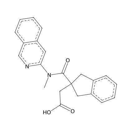 CN(C(=O)C1(CC(=O)O)Cc2ccccc2C1)c1cc2ccccc2cn1